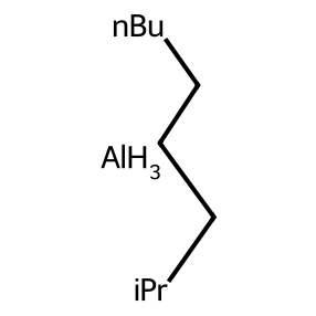 [AlH3].[CH2]CCCCCCC(C)C